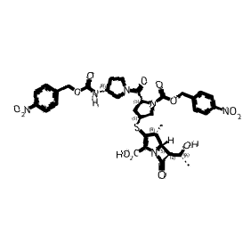 C[C@@H](O)[C@H]1C(=O)N2C(C(=O)O)=C(S[C@H]3C[C@@H](C(=O)N4CC[C@@H](NC(=O)OCc5ccc([N+](=O)[O-])cc5)C4)N(C(=O)OCc4ccc([N+](=O)[O-])cc4)C3)[C@H](C)[C@H]12